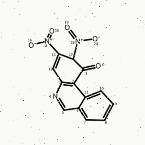 O=C1c2c(ncc3ccccc23)C=C([N+](=O)[O-])C1[N+](=O)[O-]